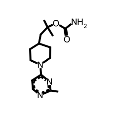 Cc1nccc(N2CCC(CC(C)(C)OC(N)=O)CC2)n1